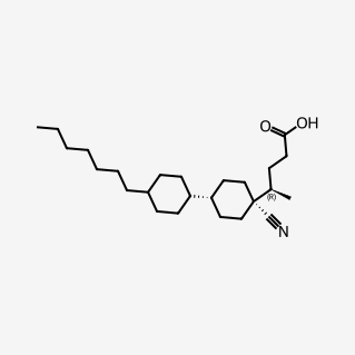 CCCCCCCC1CCC([C@H]2CC[C@](C#N)([C@H](C)CCC(=O)O)CC2)CC1